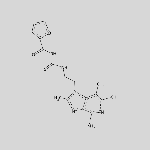 Cc1nc(N)c2nc(C)n(CCNC(=S)NC(=O)c3ccco3)c2c1C